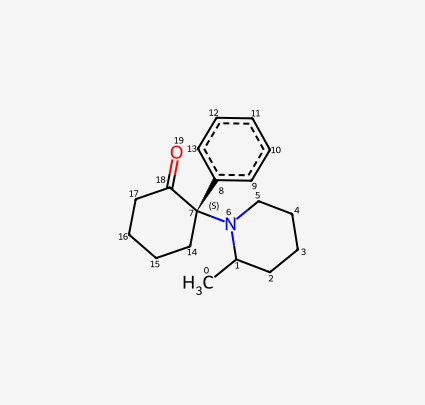 CC1CCCCN1[C@]1(c2ccccc2)CCCCC1=O